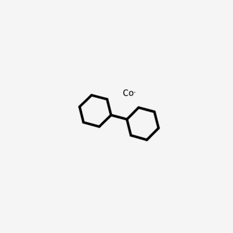 C1CCC(C2CCCCC2)CC1.[Co]